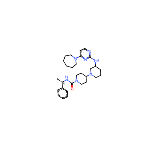 C[C@@H](NC(=O)N1CCC(N2CCCC(Nc3nccc(N4CCCCCC4)n3)C2)CC1)c1ccccc1